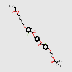 C=CC(=O)OCCCCCCOc1ccc(C(=O)Oc2ccc(OC(=O)c3ccc(OCCCOC(=O)C(=C)C)cc3F)cc2)c(F)c1